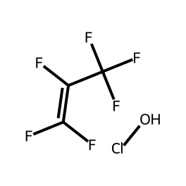 FC(F)=C(F)C(F)(F)F.OCl